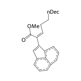 CCCCCCCCCCCCC=C(C(=O)OC)C1=Cc2cccc3cccc1c23